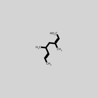 CC=CC(C)CC(C)=CC(=O)O